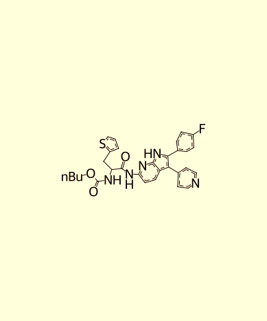 CCCCOC(=O)NC(Cc1cccs1)C(=O)Nc1ccc2c(-c3ccncc3)c(-c3ccc(F)cc3)[nH]c2n1